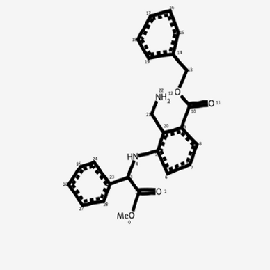 COC(=O)C(Nc1cccc(C(=O)OCc2ccccc2)c1CN)c1ccccc1